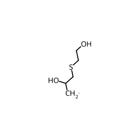 [CH2]C(O)CSCCO